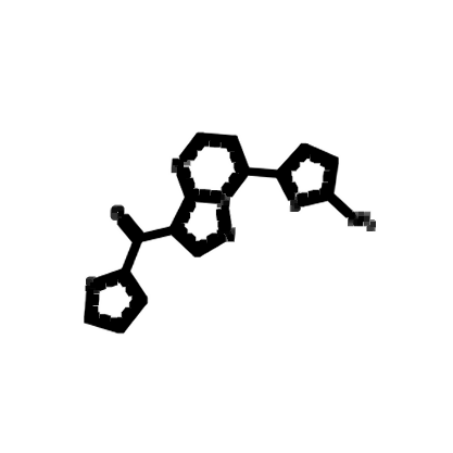 Nc1ccc(-c2ccnc3c(C(=O)c4cccs4)cnn23)s1